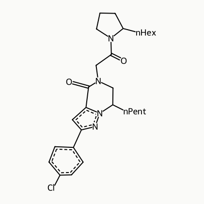 CCCCCCC1CCCN1C(=O)CN1CC(CCCCC)n2nc(-c3ccc(Cl)cc3)cc2C1=O